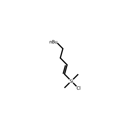 CCCCCC/C=C/[Si](C)(C)Cl